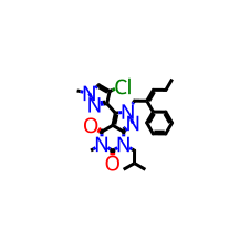 CCC=C(Cn1nc2c(c1-c1nn(C)cc1Cl)c(=O)n(C)c(=O)n2CC(C)C)c1ccccc1